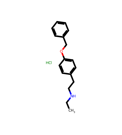 CCNCCc1ccc(OCc2ccccc2)cc1.Cl